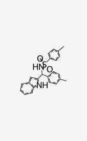 Cc1ccc(C(NS(=O)(=O)c2ccc(C)cc2)c2cc3ccccc3[nH]2)cc1